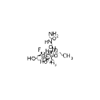 CCCC1O[C@@H]2C[C@H]3[C@@H]4C[C@H](F)C5=CC(O)C=C[C@]5(C)[C@@]4(F)[C@@H](O)C[C@]3(C)[C@]2(C(=O)COCNC(=O)CN)O1